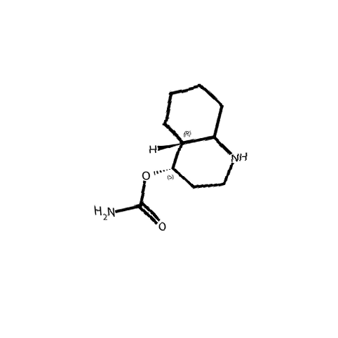 NC(=O)O[C@H]1CCNC2CCCC[C@H]21